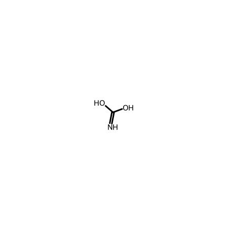 N=C(O)O